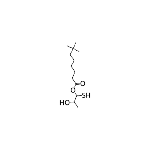 CC(O)C(S)OC(=O)CCCCCC(C)(C)C